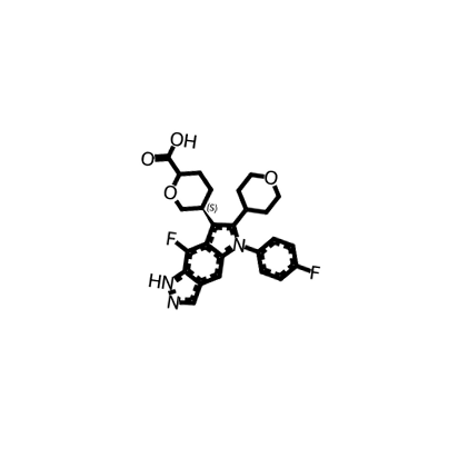 O=C(O)C1CC[C@@H](c2c(C3CCOCC3)n(-c3ccc(F)cc3)c3cc4cn[nH]c4c(F)c23)CO1